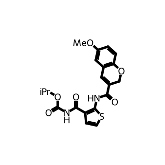 COc1ccc2c(c1)C=C(C(=O)Nc1sccc1C(=O)NC(=O)OC(C)C)CO2